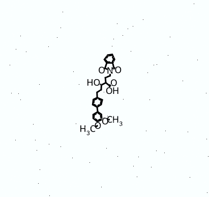 COc1ccc(-c2ccc(CCC(O)C(CCN3C(=O)c4ccccc4C3=O)C(=O)O)cc2)cc1OC